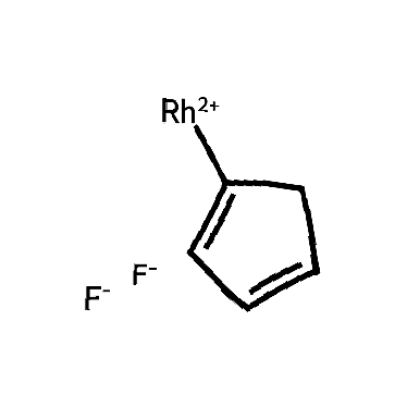 [F-].[F-].[Rh+2][C]1=CC=CC1